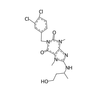 CC(CCO)Nc1nc2c(c(=O)n(Cc3ccc(Cl)c(Cl)c3)c(=O)n2C)n1C